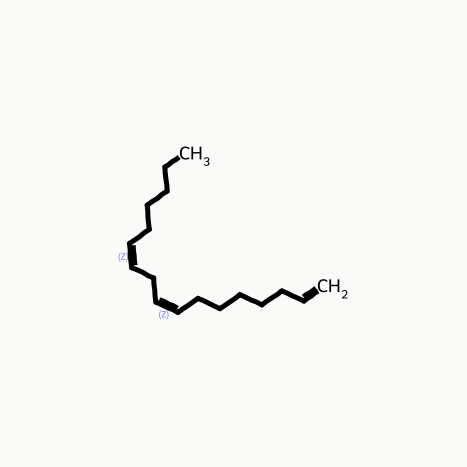 C=CCCCCC/C=C\C/C=C\CCCCC